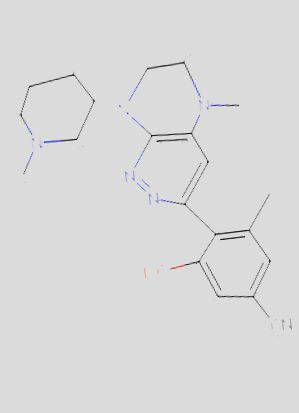 Cc1cc(C#N)cc(O)c1-c1cc2c(nn1)N([C@H]1CCCN(C)C1)CCN2C